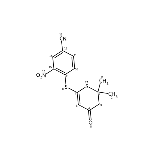 CC1(C)CC(=O)C=C(Sc2ccc(C#N)cc2[N+](=O)[O-])S1